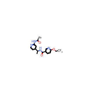 CC(C)C(=O)Nc1cc(C(C)NC(=O)c2ccc(OCC(F)(F)F)nc2)ccn1